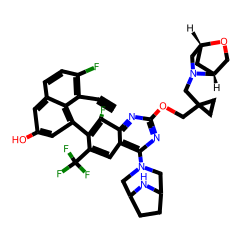 C#Cc1c(F)ccc2cc(O)cc(-c3c(C(F)(F)F)cc4c(N5CC6CCC(C5)N6)nc(OCC5(CN6C[C@H]7C[C@@H]6CO7)CC5)nc4c3F)c12